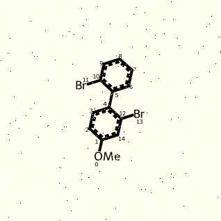 COc1ccc(-c2ccccc2Br)c(Br)c1